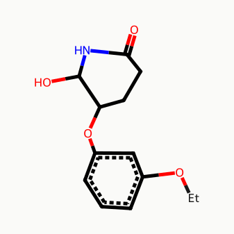 CCOc1cccc(OC2CCC(=O)NC2O)c1